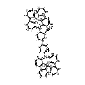 N#Cc1cc(-c2ccc(N3c4ccccc4[Si](c4ccccc4)(c4ccccc4)c4ccccc43)nc2)ccc1N1c2ccccc2[Si](c2ccccc2)(c2ccccc2)c2ccccc21